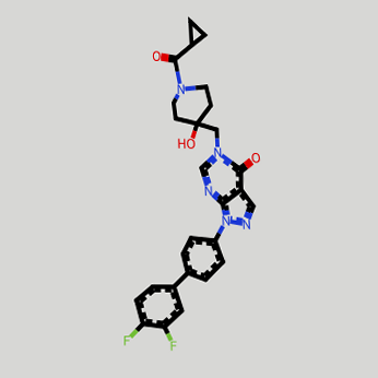 O=C(C1CC1)N1CCC(O)(Cn2cnc3c(cnn3-c3ccc(-c4ccc(F)c(F)c4)cc3)c2=O)CC1